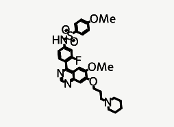 COc1ccc(S(=O)(=O)Nc2ccc(-c3ncnc4cc(OCCCN5CCCCC5)c(OC)cc34)c(F)c2)cc1